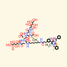 CSC[C@@H](NC(=O)[C@@H](CCC(=O)NC[C@H](O)[C@@H](O)[C@H](O)[C@H](O)CO)NC(=O)[C@@H](CCC(=O)O)NC(=O)[C@@H](CCC(=O)NC[C@H](O)[C@@H](O)[C@H](O)[C@H](O)CO)NC(=O)CCCCCCCNC(=O)CCc1cccc(-c2c(C)n(Cc3c(F)cccc3F)c(=O)n(C[C@@H](N)c3ccccc3)c2=O)c1)C(=O)O